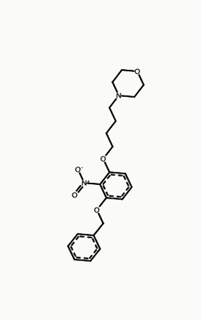 O=[N+]([O-])c1c(OCCCCN2CCOCC2)cccc1OCc1ccccc1